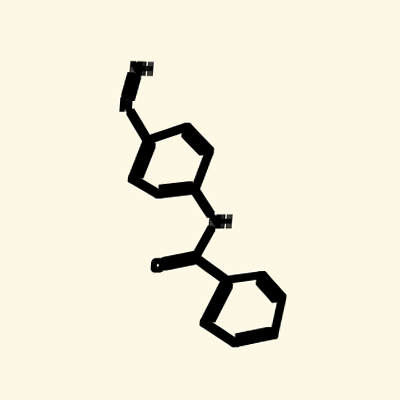 N=Nc1ccc(NC(=O)c2ccccc2)cc1